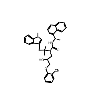 C[C@@H](NC(=O)N(CC(O)COc1ccccc1C#N)C(C)(C)Cc1c[nH]c2ccccc12)c1cccc2ccccc12